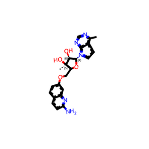 Cc1ncnc2c1ccn2[C@@H]1OC(COc2ccc3ccc(N)nc3c2)[C@@](C)(O)[C@H]1O